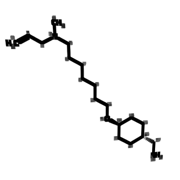 C=CCN(C)CCCCCCCO[C@H]1CC[C@H](CN)CC1